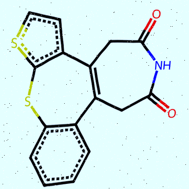 O=C1CC2=C(CC(=O)N1)c1ccsc1Sc1ccccc12